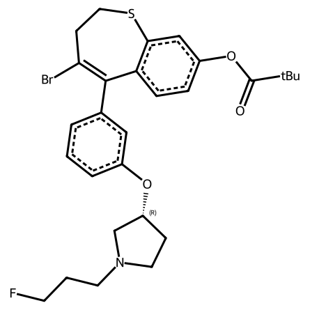 CC(C)(C)C(=O)Oc1ccc2c(c1)SCCC(Br)=C2c1cccc(O[C@@H]2CCN(CCCF)C2)c1